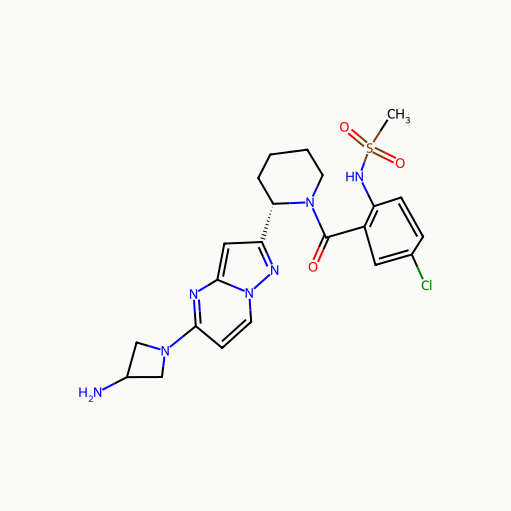 CS(=O)(=O)Nc1ccc(Cl)cc1C(=O)N1CCCC[C@H]1c1cc2nc(N3CC(N)C3)ccn2n1